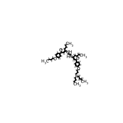 CCCCOc1ccc(C(=O)/C=C(\CCCC)NCCN/C(=C/C(=O)c2ccc(OCCCN(CCCC)CCCC)cc2)CCCC)cc1